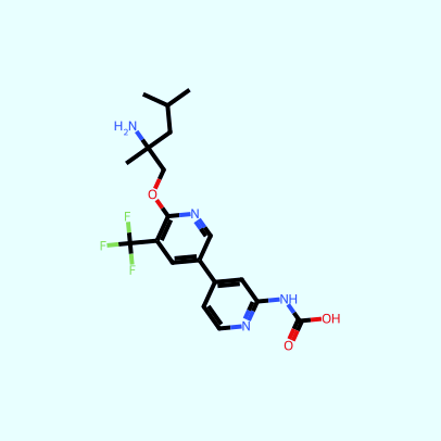 CC(C)CC(C)(N)COc1ncc(-c2ccnc(NC(=O)O)c2)cc1C(F)(F)F